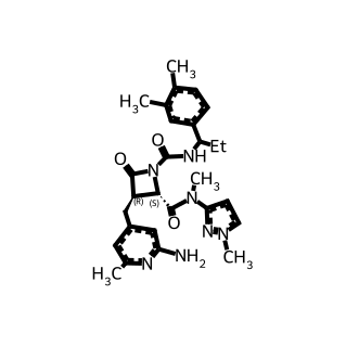 CCC(NC(=O)N1C(=O)[C@H](Cc2cc(C)nc(N)c2)[C@H]1C(=O)N(C)c1ccn(C)n1)c1ccc(C)c(C)c1